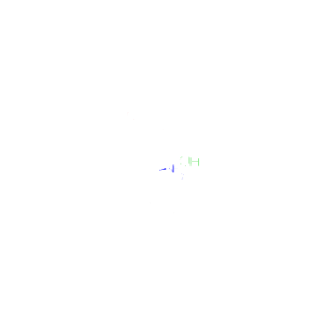 CC[C@H](C)[C@H](N)CC(=O)O.Cl